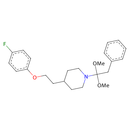 COC(Cc1ccccc1)(OC)N1CCC(CCOc2ccc(F)cc2)CC1